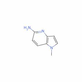 Cn1ccc2nc(N)ccc21